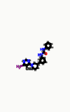 COc1c(P)ncnc1N1CCCC(c2cccc(NC(=O)Nc3ccccc3)c2)C1